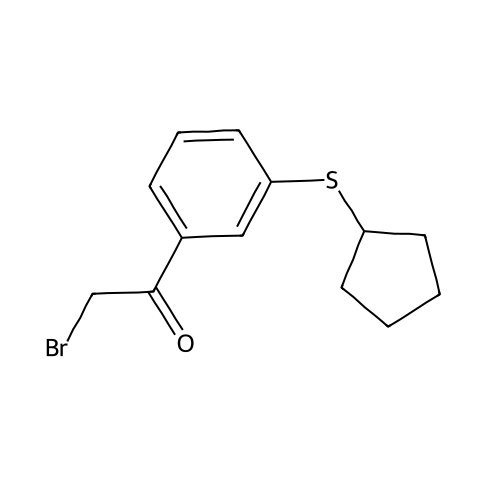 O=C(CBr)c1cccc(SC2CCCC2)c1